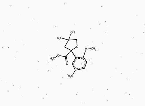 COC(=O)C1(c2cc(C)ccc2OC)CC(C)(O)CO1